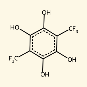 Oc1c(O)c(C(F)(F)F)c(O)c(O)c1C(F)(F)F